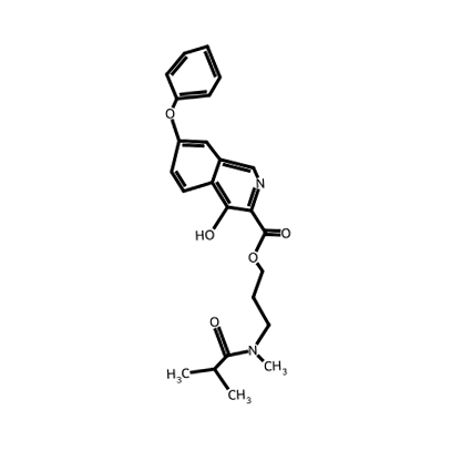 CC(C)C(=O)N(C)CCCOC(=O)c1ncc2cc(Oc3ccccc3)ccc2c1O